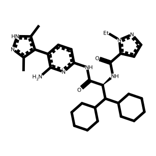 CCn1nccc1C(=O)N[C@H](C(=O)Nc1ccc(-c2c(C)n[nH]c2C)c(N)n1)C(C1CCCCC1)C1CCCCC1